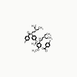 CCN(CC)CCN(C(=O)c1ccc(F)cc1)c1ccc(OC)cc1.CCN(CC)CCNc1ccc(OC)cc1.O=C(Cl)c1ccc(F)cc1